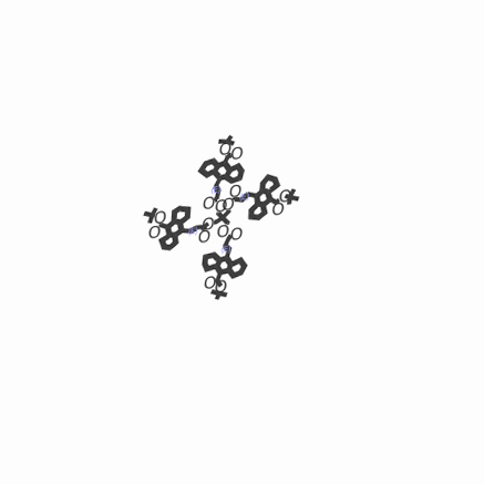 CC(C)(C)OC(=O)c1c2ccccc2c(/C=C/C(=O)OCC(COC(=O)/C=C/c2c3ccccc3c(C(=O)OC(C)(C)C)c3ccccc23)(COC(=O)/C=C/c2c3ccccc3c(C(=O)OC(C)(C)C)c3ccccc23)COC(=O)/C=C/c2c3ccccc3c(C(=O)OC(C)(C)C)c3ccccc23)c2ccccc12